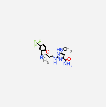 CNc1cc(C(N)=O)nc(NCC[C@@H](C)Oc2ccc(C(F)(F)F)cc2C#N)n1